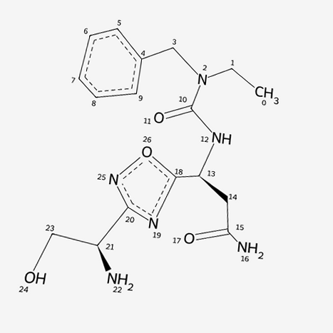 CCN(Cc1ccccc1)C(=O)N[C@@H](CC(N)=O)c1nc([C@@H](N)CO)no1